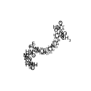 Cn1c(=O)n(C2CCC(=O)NC2=O)c2cccc(CC3CCN(c4ccc(CN5CCC(n6cc(NC(=O)c7cnn8ccc(N9C[C@H]%10C[C@@H]9CO%10)nc78)c(C(F)F)n6)CC5)cc4)CC3)c21